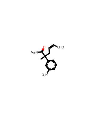 CNC(=O)C(C)(C/C=C\C=O)c1cccc([N+](=O)[O-])c1